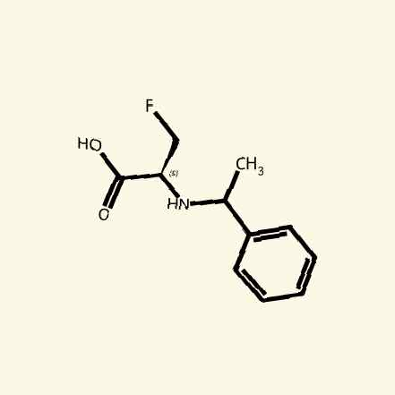 CC(N[C@H](CF)C(=O)O)c1ccccc1